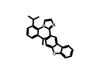 CC(C)c1cccc(C(C)C)c1-n1ccnc1-c1ccc2oc3ccccc3c2c1